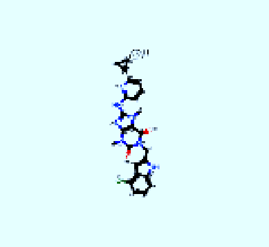 Cn1c(Nc2cccc([C@@H]3C[C@H]3C(=O)O)n2)nc2c1c(=O)n(Cc1cc3c(Cl)cccc3[nH]1)c(=O)n2C